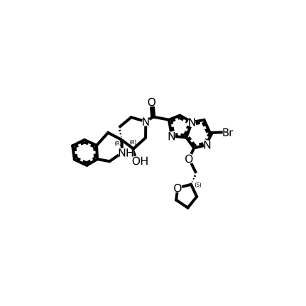 O=C(c1cn2cc(Br)nc(OC[C@@H]3CCCO3)c2n1)N1CC[C@]2(Cc3ccccc3CN2)[C@H](O)C1